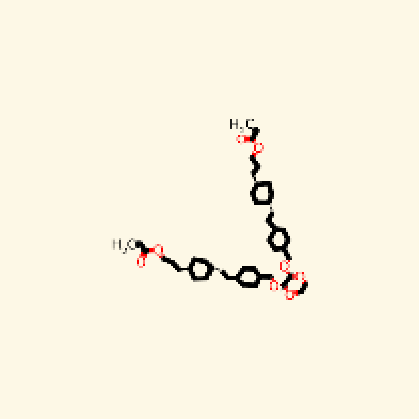 C=CC(=O)OCCC[C@H]1CC[C@H](CCC2CCC(CO[C@H]3OCCO[C@@H]3OCC3CCC(CC[C@H]4CC[C@H](CCCOC(=O)C=C)CC4)CC3)CC2)CC1